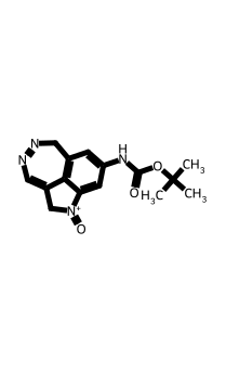 CC(C)(C)OC(=O)Nc1cc2c3c(c1)[N+](=O)CC3=CN=NC2